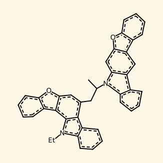 CCn1c2ccccc2c2c(CC(C)n3c4ccccc4c4cc5c(cc43)oc3ccccc35)cc3oc4ccccc4c3c21